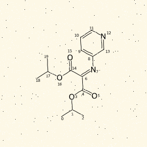 CC(C)OC(=O)C(=Nc1cccnc1)C(=O)OC(C)C